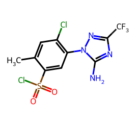 Cc1cc(Cl)c(-n2nc(C(F)(F)F)nc2N)cc1S(=O)(=O)Cl